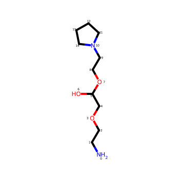 NCCOCC(O)OCCN1CCCC1